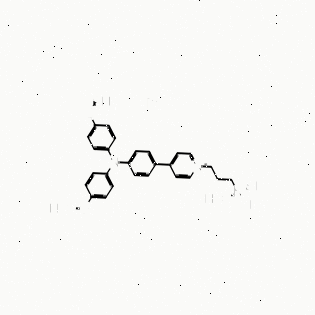 Br.COc1ccc(N(c2ccc(OC)cc2)c2ccc(-c3cc[n+](CCC[N+](C)(C)C)cc3)cc2)cc1